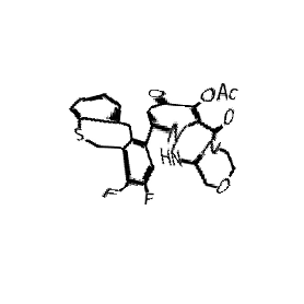 CC(=O)Oc1c2n(c(-c3cc(F)c(F)c4c3Cc3ccccc3SC4)cc1=O)NC1COCCN1C2=O